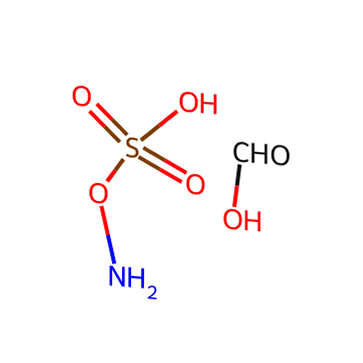 NOS(=O)(=O)O.O=CO